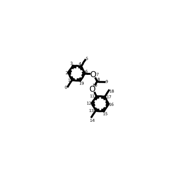 Cc1ccc(C)c(OC(C)Oc2cc(C)ccc2C)c1